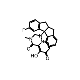 CN1CN(C23c4ccccc4CC2Cc2ccc(F)cc23)n2ccc(=O)c(O)c2C1=O